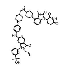 C=CCn1c(=O)c2cnc(Nc3ccc(N4CCC(CN(C)C5CCN(c6cccc7c6n(C)c(=O)n7C6CCC(=O)NC6=O)CC5)CC4)cc3)nc2n1-c1cccc(C(C)(C)O)n1